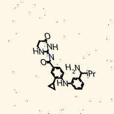 CC(C)C(N)c1cccc(Nc2ccc(C(=O)/N=C3\NCCC(=O)N3)cc2C2CC2)c1